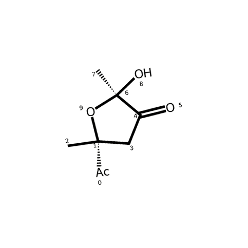 CC(=O)[C@@]1(C)CC(=O)[C@](C)(O)O1